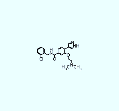 CN(C)CCOc1cc(C(=O)NCc2ccccc2Cl)ccc1-c1cn[nH]c1